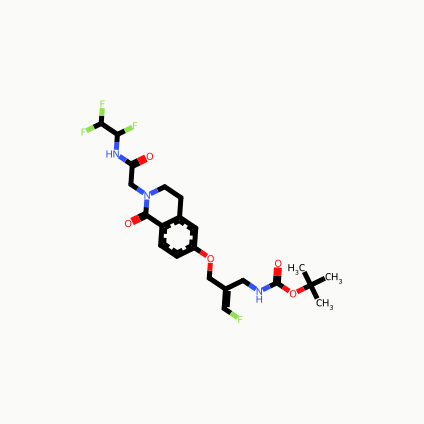 CC(C)(C)OC(=O)NC/C(=C\F)COc1ccc2c(c1)CCN(CC(=O)NC(F)C(F)F)C2=O